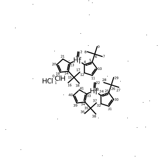 Cl.Cl.[CH2]=[Hf]([C]1=C(C(C)(C)C)C=CC1)[C]1=C(C(C)(C)C)C=CC1.[CH2]=[Hf]([C]1=C(C(C)(C)C)C=CC1)[C]1=C(C(C)(C)C)C=CC1